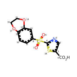 O=C(O)c1cnc(S(=O)(=O)c2ccc3c(c2)OCCO3)s1